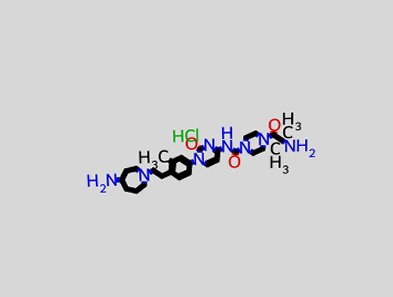 Cc1cc(-n2ccc(NC(=O)N3CCN(C(=O)C(C)(C)N)CC3)nc2=O)ccc1CCN1CCCC(N)CC1.Cl